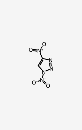 O=[N+]([O-])c1cn([N+](=O)[O-])nn1